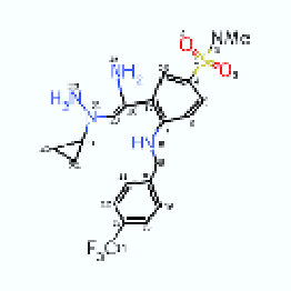 CNS(=O)(=O)c1ccc(NCc2ccc(C(F)(F)F)cc2)c(/C(N)=C/N(N)C2CC2)c1